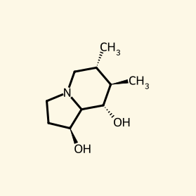 C[C@H]1[C@H](O)C2[C@@H](O)CCN2C[C@@H]1C